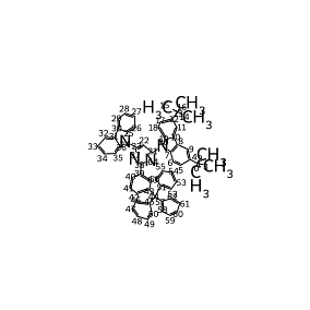 CC(C)(C)c1ccc2c(c1)c1cc(C(C)(C)C)ccc1n2-c1cc(-n2c3ccccc3c3ccccc32)nc(-c2cccc(C(c3ccccc3)(c3ccccc3)c3ccccc3)c2)n1